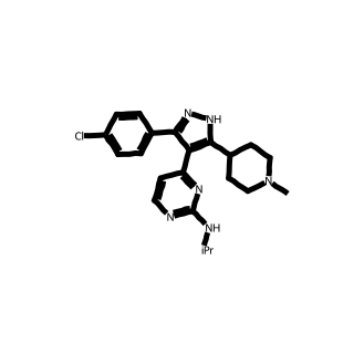 CC(C)Nc1nccc(-c2c(-c3ccc(Cl)cc3)n[nH]c2C2CCN(C)CC2)n1